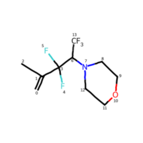 C=C(C)C(F)(F)C(N1CCOCC1)C(F)(F)F